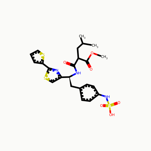 COC(=O)C(CC(C)C)C(=O)N[C@@H](Cc1ccc(NS(=O)(=O)O)cc1)c1csc(-c2cccs2)n1